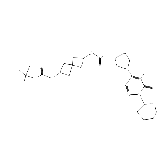 CC(C)(C)OC(=O)NC1CC2(CC(NC(=O)O[C@@H]3CCN(c4cnn(C5CCCCO5)c(=O)c4Cl)C3)C2)C1